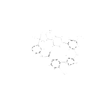 Cc1nc(Nc2ncc(-c3cc(C(=O)Nc4cc(C(F)(F)F)ccn4)ccc3C)s2)cc(N2CCN(CCO)CC2)n1